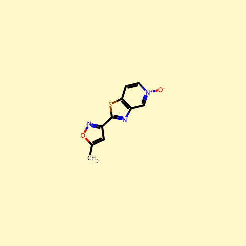 Cc1cc(-c2nc3c[n+]([O-])ccc3s2)no1